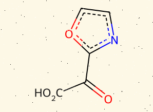 O=C(O)C(=O)c1ncco1